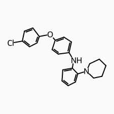 Clc1ccc(Oc2ccc(Nc3ccccc3N3CCCCC3)cc2)cc1